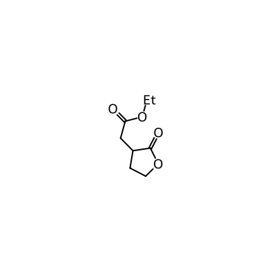 CCOC(=O)CC1CCOC1=O